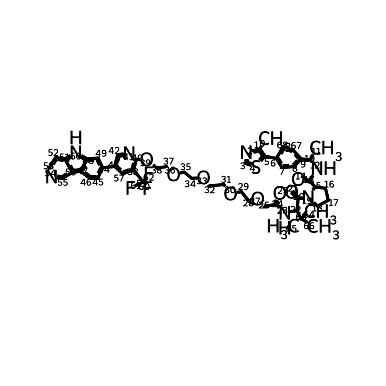 Cc1ncsc1-c1ccc(C(C)NC(=O)C2CCCN2C(=O)C(NC(=O)COCCOCCOCCOCCOc2ncc(-c3ccc4c(c3)[nH]c3ccncc34)cc2C(F)(F)F)C(C)(C)C)cc1